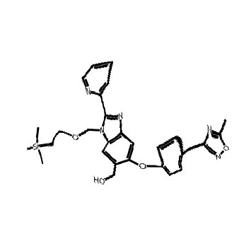 Cc1nc(-c2ccc(Oc3cc4nc(-c5ccccn5)n(COCC[Si](C)(C)C)c4cc3CO)cc2)no1